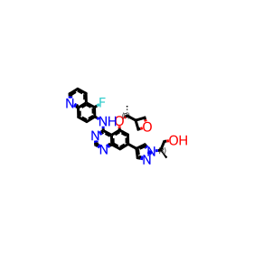 C[C@H](CO)n1cc(-c2cc(O[C@H](C)C3COC3)c3c(Nc4ccc5ncccc5c4F)ncnc3c2)cn1